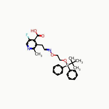 Cc1ncc(F)c(C(=O)O)c1CC=NOCCO[Si](c1ccccc1)(c1ccccc1)C(C)(C)C